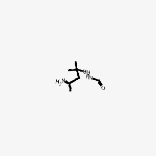 CC(N)CC(C)(C)BNC=O